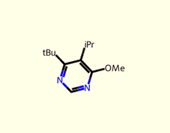 COc1ncnc(C(C)(C)C)c1C(C)C